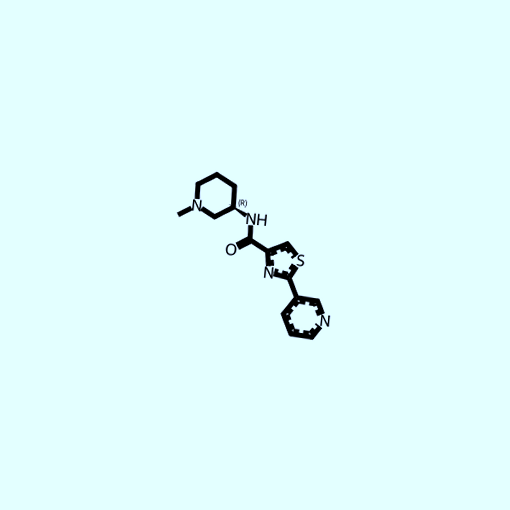 CN1CCC[C@@H](NC(=O)c2csc(-c3cccnc3)n2)C1